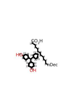 CCCCCCCCCCCCCCCCCCCCCC(=O)O.Oc1ccc(C(c2ccccc2)c2ccc(O)cc2)cc1